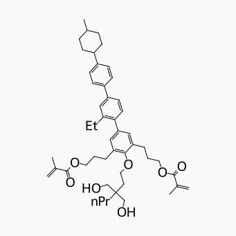 C=C(C)C(=O)OCCCc1cc(-c2ccc(-c3ccc(C4CCC(C)CC4)cc3)cc2CC)cc(CCCOC(=O)C(=C)C)c1OCCC(CO)(CO)CCC